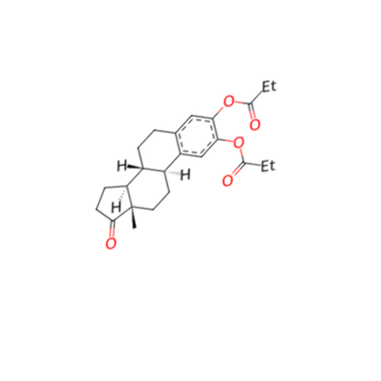 CCC(=O)Oc1cc2c(cc1OC(=O)CC)[C@H]1CC[C@]3(C)C(=O)CC[C@H]3[C@@H]1CC2